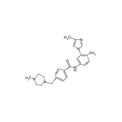 Cc1cn(-c2cc(NC(=O)c3ccc(CN4CCN(C)CC4)cc3)ccc2C)cn1